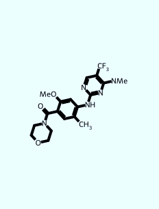 CNc1nc(Nc2cc(OC)c(C(=O)N3CCOCC3)cc2C)ncc1C(F)(F)F